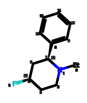 CCN1CC[C@@H](F)C[C@@H]1c1ccccc1